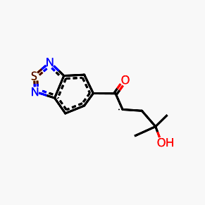 CC(C)(O)C[CH]C(=O)c1ccc2nsnc2c1